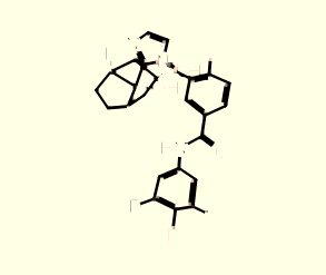 Cn1ccnc1[C@@]1(O)C2CC[C@H]1C[C@H](Sc1cc(C(=O)Nc3cc(F)c(F)c(F)c3)ccc1Cl)C2